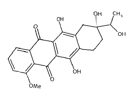 COc1cccc2c1C(=O)c1c(O)c3c(c(O)c1C2=O)C[C@@](O)(C(C)O)CC3